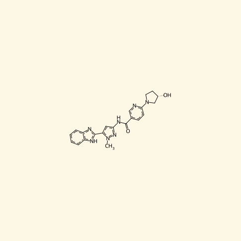 Cn1nc(NC(=O)c2ccc(N3CC[C@H](O)C3)nc2)cc1-c1nc2ccccc2[nH]1